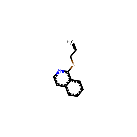 C=CCSc1nccc2ccccc12